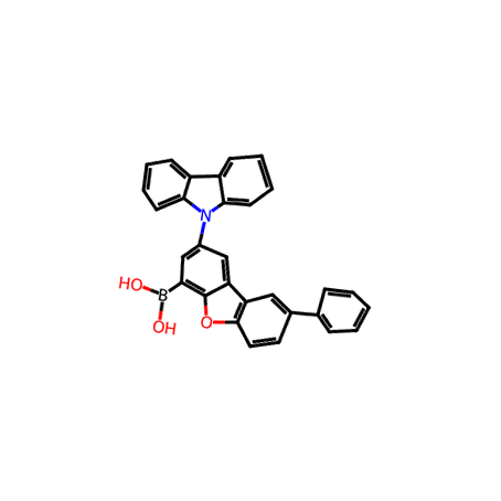 OB(O)c1cc(-n2c3ccccc3c3ccccc32)cc2c1oc1ccc(-c3ccccc3)cc12